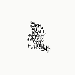 C=CCC1CC(Nc2c(N)c(OC[C@@H]3CCCN3C)nc3c(F)c(Br)c(Cl)cc23)CCN1C(=O)OC(C)(C)C